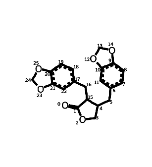 O=C1OCC(Cc2ccc3c(c2)OCO3)C1Cc1ccc2c(c1)OCO2